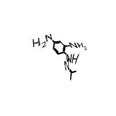 CC(C)=NNc1ccc(N)cc1N